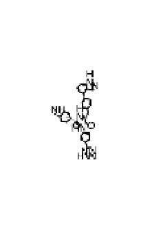 NC[C@H]1CC[C@H](C(=O)N[C@@H](Cc2ccc(-c3cccc4[nH]ncc34)cc2)C(=O)Nc2ccc(-c3nn[nH]n3)cc2)CC1